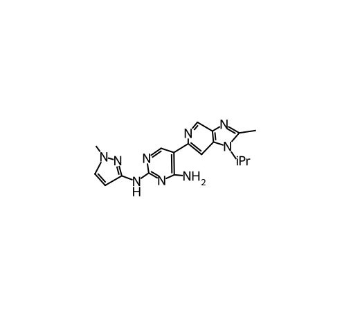 Cc1nc2cnc(-c3cnc(Nc4ccn(C)n4)nc3N)cc2n1C(C)C